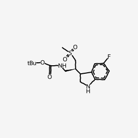 CC(C)(C)OC(=O)NC[C@@H](CS(C)(=O)=O)C1CNc2ccc(F)cc21